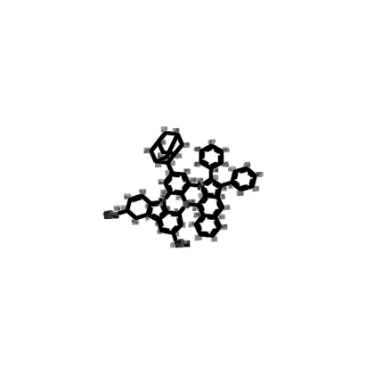 CC(C)(C)c1cc2c3c(c1)c1c(n3-c3cc(C4C5CC6CC(C5)CC4C6)cc4c3B2c2c3ccccc3cc3c(-c5ccccc5)c(-c5ccccc5)n-4c23)C=CC(C(C)(C)C)C1